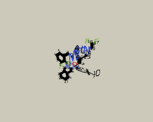 CC(=O)N(NCc1cccc(F)c1Cl)[C@@H](CNCC(F)F)CON(C=O)c1cc2ccccc2cn1